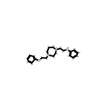 c1ccc(OCCN2CCCN(CCOc3ccccc3)CC2)cc1